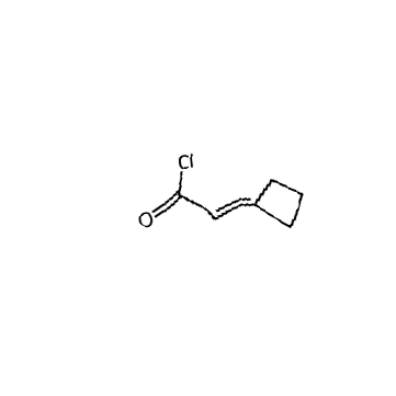 O=C(Cl)C=C1CCC1